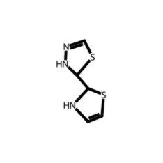 C1=CSC(C2NN=CS2)N1